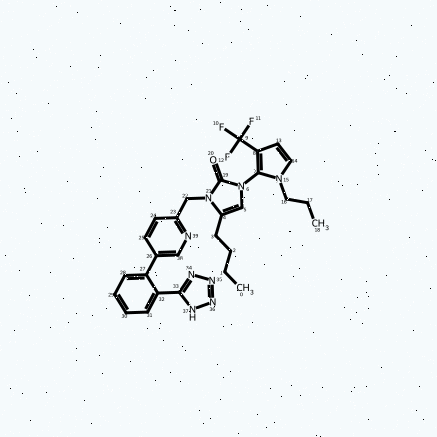 CCCCc1cn(-c2c(C(F)(F)F)ccn2CCC)c(=O)n1Cc1ccc(-c2ccccc2-c2nnn[nH]2)cn1